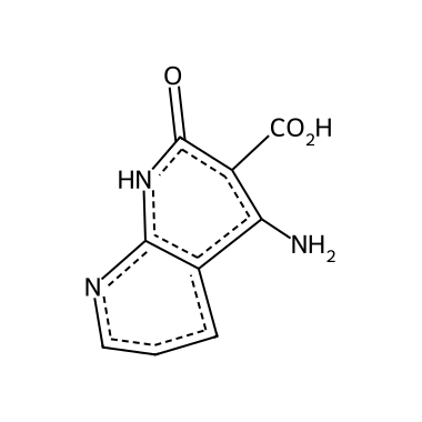 Nc1c(C(=O)O)c(=O)[nH]c2ncccc12